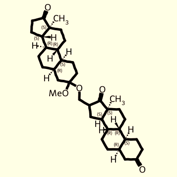 COC1(OCC2C[C@H]3[C@@H]4CC[C@@H]5CC(=O)CC[C@@H]5[C@H]4CC[C@]3(C)C2=O)CC[C@H]2[C@H](CC[C@@H]3[C@@H]2CC[C@]2(C)C(=O)CC[C@@H]32)C1